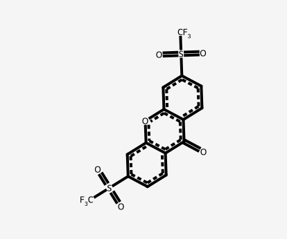 O=c1c2ccc(S(=O)(=O)C(F)(F)F)cc2oc2cc(S(=O)(=O)C(F)(F)F)ccc12